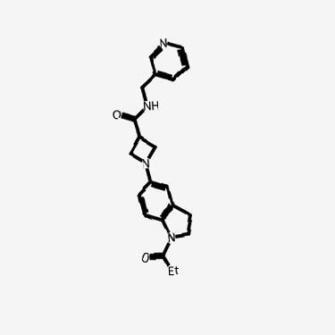 CCC(=O)N1CCc2cc(N3CC(C(=O)NCc4cccnc4)C3)ccc21